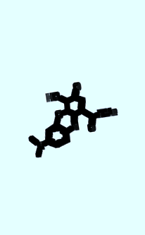 CNC(=O)C1=CC(=O)C(O)C2Oc3cc(N(C)C)ccc3N=C12